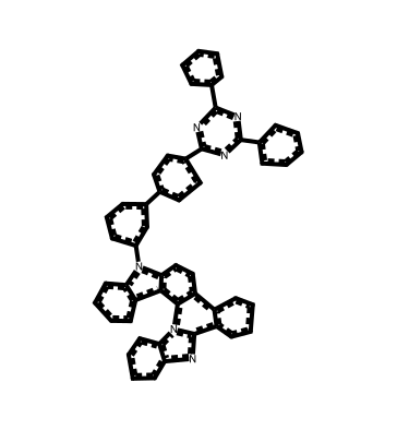 c1ccc(-c2nc(-c3ccccc3)nc(-c3ccc(-c4cccc(-n5c6ccccc6c6c5ccc5c7ccccc7c7nc8ccccc8n7c56)c4)cc3)n2)cc1